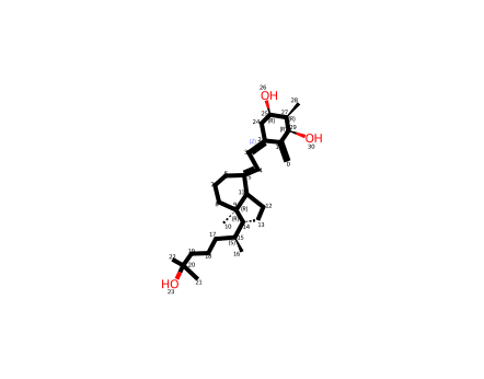 C=C1/C(=C\C=C2CCC[C@@]3(C)C2CC[C@@H]3[C@@H](C)CCCC(C)(C)O)C[C@@H](O)[C@@H](C)[C@H]1O